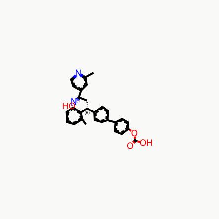 Cc1cc(/C(C[C@H](c2ccc(-c3ccc(OC(=O)O)cc3)cc2)c2ccccc2C)=N/O)ccn1